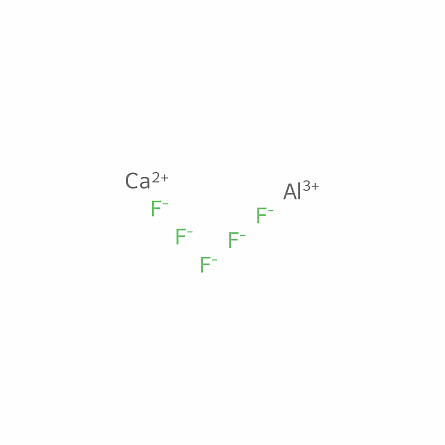 [Al+3].[Ca+2].[F-].[F-].[F-].[F-].[F-]